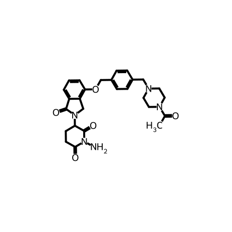 CC(=O)N1CCN(Cc2ccc(COc3cccc4c3CN(C3CCC(=O)N(N)C3=O)C4=O)cc2)CC1